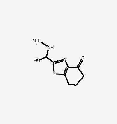 CNC(O)c1nc2c(s1)CCCC2=O